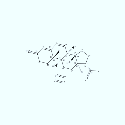 C=C.C=C.CC(=O)[C@H]1CC[C@H]2[C@@H]3C=CC4=CC(=O)CC[C@@]4(C)[C@@H]3CC[C@]12C